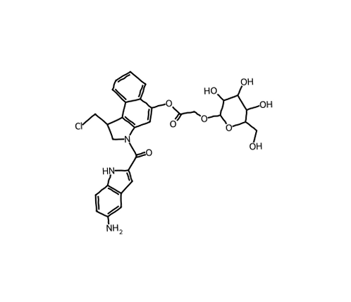 Nc1ccc2[nH]c(C(=O)N3CC(CCl)c4c3cc(OC(=O)COC3OC(CO)C(O)C(O)C3O)c3ccccc43)cc2c1